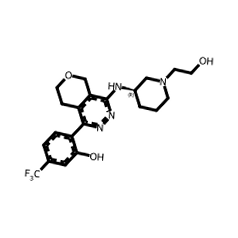 OCCN1CCC[C@@H](Nc2nnc(-c3ccc(C(F)(F)F)cc3O)c3c2COCC3)C1